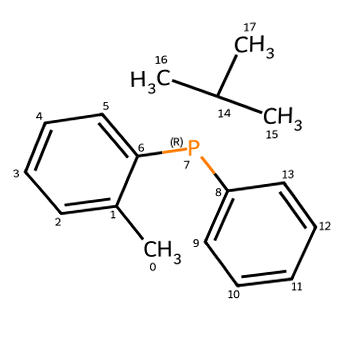 Cc1ccccc1[P@](c1ccccc1)C(C)(C)C